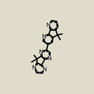 CC1(C)c2cccnc2-c2ncc(-c3cnc4c(n3)C(C)(C)c3nccnc3-4)cc21